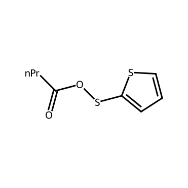 CCCC(=O)OSc1cccs1